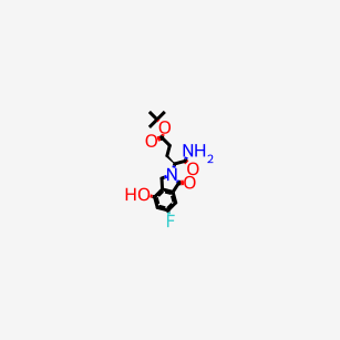 CC(C)(C)OC(=O)CC[C@@H](C(N)=O)N1Cc2c(O)cc(F)cc2C1=O